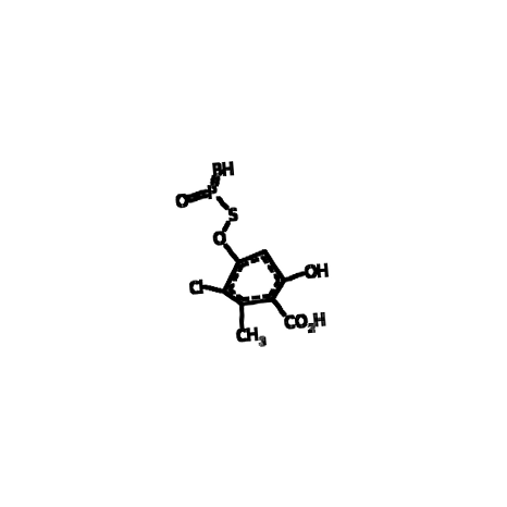 B=P(=O)SOc1cc(O)c(C(=O)O)c(C)c1Cl